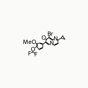 COc1cc(-c2cn3ccc(C4CC4)nc3c(Br)c2=O)ccc1OC(F)F